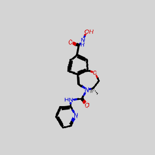 C[C@H]1COc2cc(C(=O)NO)ccc2CN1C(=O)Nc1ccccn1